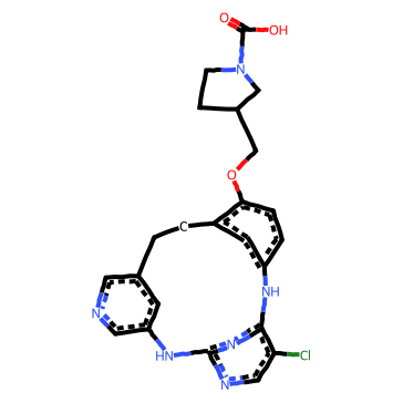 O=C(O)N1CCC(COc2ccc3cc2CCc2cncc(c2)Nc2ncc(Cl)c(n2)N3)C1